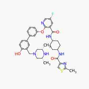 Cc1nc(C(=O)NC2CCC(NC(=O)c3cc(F)cnc3Oc3cccc(-c4ccc(O)c(CN5C[C@@H](C)N[C@@H](C)C5)c4)c3)CC2)cs1